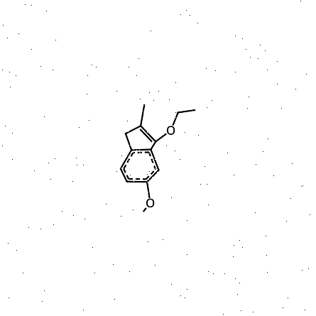 CCOC1=C(C)Cc2ccc(OC)cc21